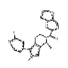 Cc1cc(-c2c3c(nn2C)[C@H](C)N(C(=O)c2ccc4ncccc4c2)CC3)ccn1